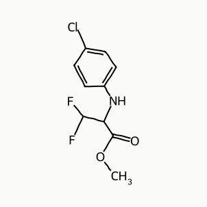 COC(=O)C(Nc1ccc(Cl)cc1)C(F)F